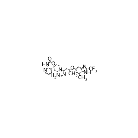 C=C(/C=C(\N=C/N)N1CCC2(CC1)OC(=O)Nc1ncccc12)Oc1cc(C)c2[nH]c(C(F)(F)F)nc2c1